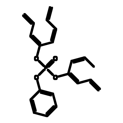 C=C/C=C\C(=C/C=C)OP(=O)(OC(/C=C\C)=C/C=C)Oc1ccccc1